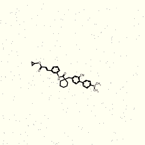 CN(C)c1ccc(-c2ccc(CC3(C(=O)Nc4cccc(/C=C/C(=O)OC5CC5)c4)CCCCC3)cc2C#N)cc1